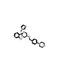 Clc1ccccc1[C@]1(Cn2ccnc2)OC[C@H](OCc2ccc(N3CCOCC3)cc2)CO1